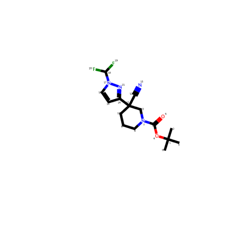 CC(C)(C)OC(=O)N1CCCC(C#N)(c2ccn(C(F)F)n2)C1